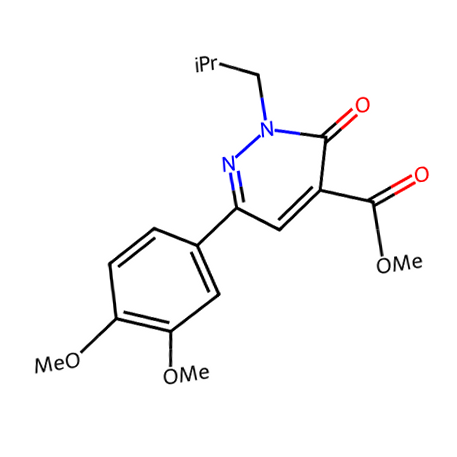 COC(=O)c1cc(-c2ccc(OC)c(OC)c2)nn(CC(C)C)c1=O